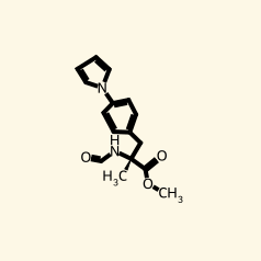 COC(=O)[C@@](C)(Cc1ccc(-n2cccc2)cc1)NC=O